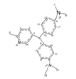 Cc1ccc(C(c2ccc(N(C)C)cc2)c2ccc(N(C)C)cc2)cn1